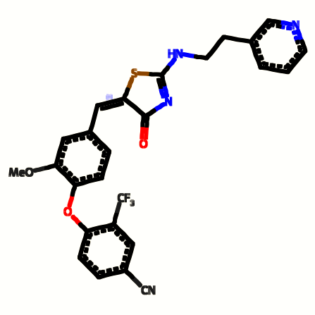 COc1cc(/C=C2/SC(NCCc3cccnc3)=NC2=O)ccc1Oc1ccc(C#N)cc1C(F)(F)F